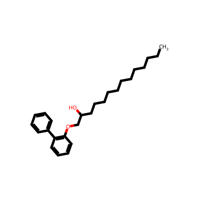 CCCCCCCCCCCCC(O)COc1[c]cccc1-c1ccccc1